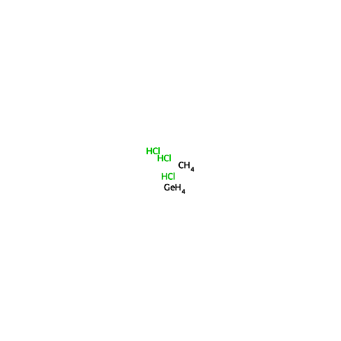 C.Cl.Cl.Cl.[GeH4]